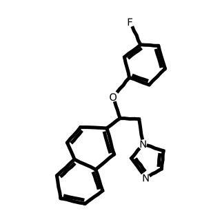 Fc1cccc(OC(Cn2ccnc2)c2ccc3ccccc3c2)c1